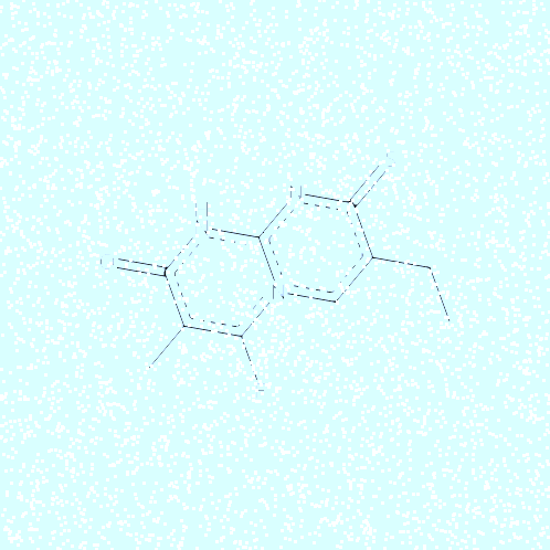 CCc1cn2c(F)c(C)c(=O)[nH]c2nc1=S